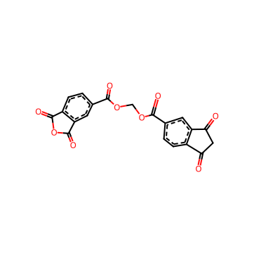 O=C(OCOC(=O)c1ccc2c(c1)C(=O)OC2=O)c1ccc2c(c1)C(=O)CC2=O